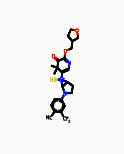 CC1(C)C(=O)C(OCC2CCOC2)=NC=C1[N+]1(S)C2CCN(c3ccc(C#N)c(C(F)(F)F)c3)C21